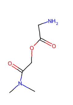 CN(C)C(=O)COC(=O)CN